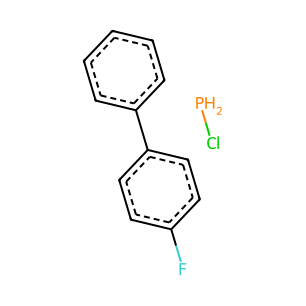 Fc1ccc(-c2ccccc2)cc1.PCl